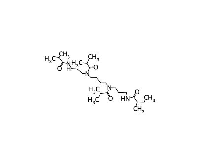 CCC(C)C(=O)NCCCN(CCCCN(CCCNC(=O)C(C)C)C(=O)C(C)C)C(=O)C(C)C